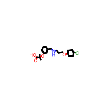 CC(C)(Oc1cccc(CNCCCOc2ccc(Cl)cc2)c1)C(=O)O